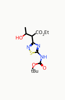 CCOC(=O)C(c1nsc(NC(=O)OC(C)(C)C)n1)C(C)O